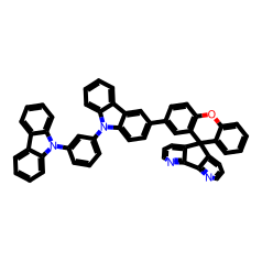 c1cc(-n2c3ccccc3c3ccccc32)cc(-n2c3ccccc3c3cc(-c4ccc5c(c4)C4(c6ccccc6O5)c5cccnc5-c5ncccc54)ccc32)c1